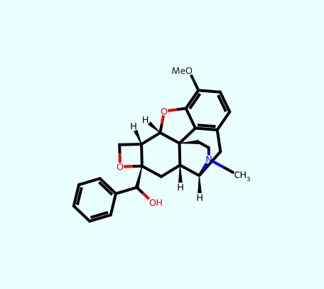 COc1ccc2c3c1O[C@H]1[C@H]4CO[C@@]4(C(O)c4ccccc4)C[C@H]4[C@@H](C2)N(C)CC[C@@]341